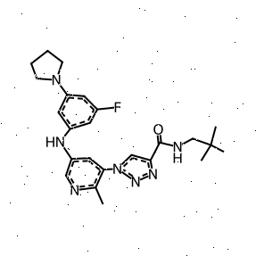 Cc1ncc(Nc2cc(F)cc(N3CCCC3)c2)cc1-n1cc(C(=O)NCC(C)(C)C)nn1